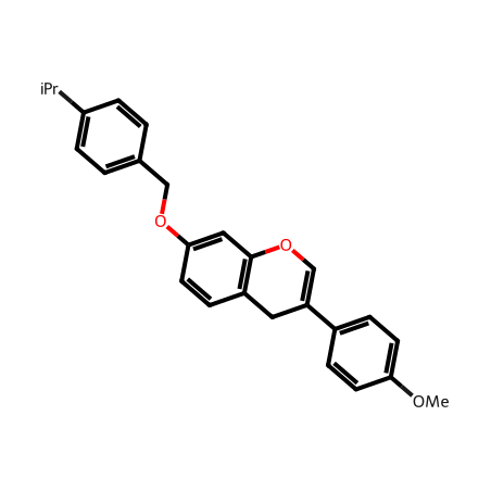 COc1ccc(C2=COc3cc(OCc4ccc(C(C)C)cc4)ccc3C2)cc1